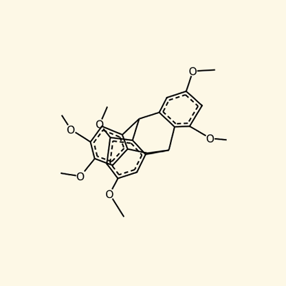 COc1cc(OC)c2c(c1)C1Cc3cc(OC)c(OC)cc3C2c2cc(OC)cc(OC)c21